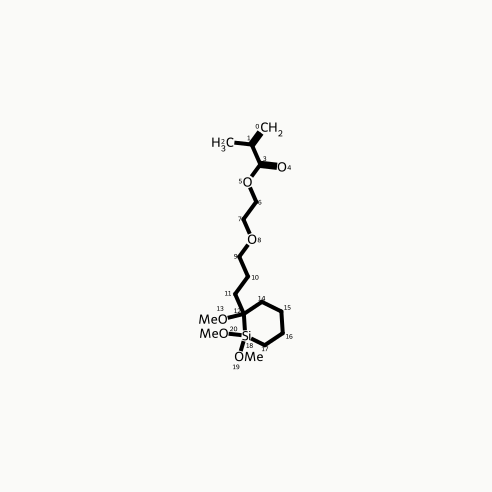 C=C(C)C(=O)OCCOCCCC1(OC)CCCC[Si]1(OC)OC